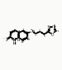 O=c1ccc2cc(OCCCc3nnco3)ccc2[nH]1